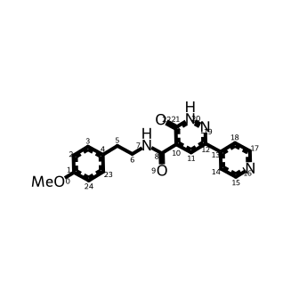 COc1ccc(CCNC(=O)c2cc(-c3ccncc3)n[nH]c2=O)cc1